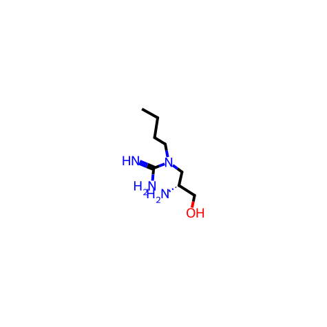 CCCCN(C[C@@H](N)CO)C(=N)N